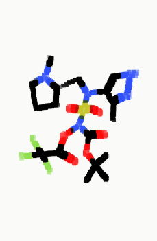 Cc1n[nH]cc1N(C[C@@H]1CCCN1C)S(=O)(=O)N(OC(=O)C(F)(F)F)C(=O)OC(C)(C)C